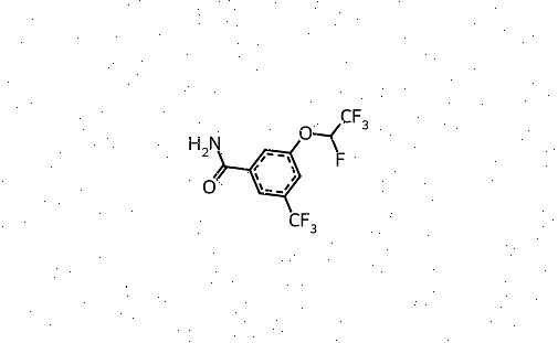 NC(=O)c1cc(OC(F)C(F)(F)F)cc(C(F)(F)F)c1